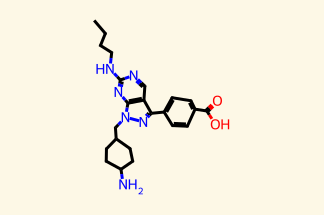 CCCCNc1ncc2c(-c3ccc(C(=O)O)cc3)nn(CC3CCC(N)CC3)c2n1